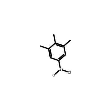 Cc1cc([S+]([O-])Cl)cc(C)c1C